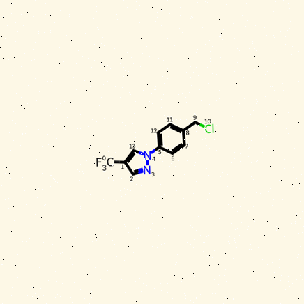 FC(F)(F)c1cnn(-c2ccc(CCl)cc2)c1